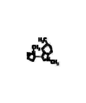 Cc1ccc2c(c1)c(-c1ccnn1C)cn2C